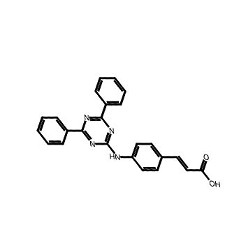 O=C(O)C=Cc1ccc(Nc2nc(-c3ccccc3)nc(-c3ccccc3)n2)cc1